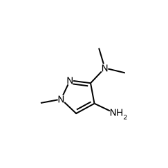 CN(C)c1nn(C)cc1N